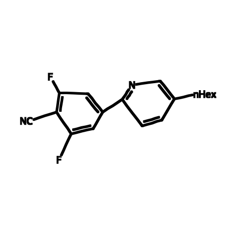 CCCCCCc1ccc(-c2cc(F)c(C#N)c(F)c2)nc1